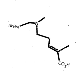 CCCCCCCN(C)CCC=C(C)C(=O)O